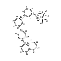 CC1(C)OB(c2cccc(-c3cccc(-c4ccc(-c5cccc6ccccc56)cc4)c3)c2)OC1(C)C